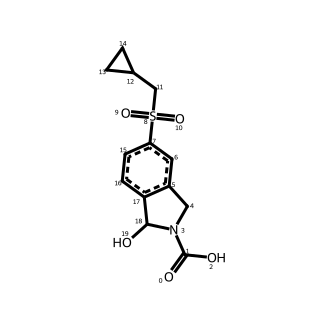 O=C(O)N1Cc2cc(S(=O)(=O)CC3CC3)ccc2C1O